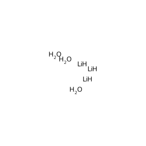 O.O.O.[LiH].[LiH].[LiH]